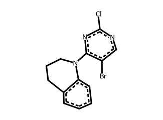 Clc1ncc(Br)c(N2CCCc3ccccc32)n1